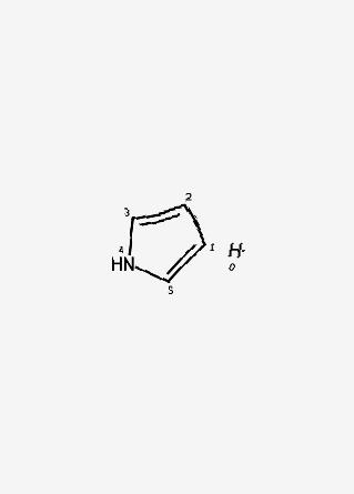 [H].c1cc[nH]c1